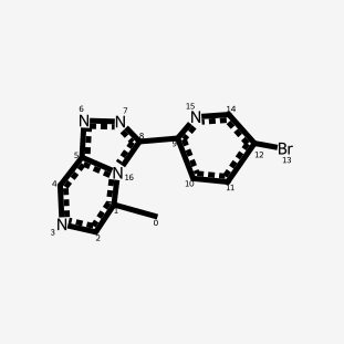 Cc1cncc2nnc(-c3ccc(Br)cn3)n12